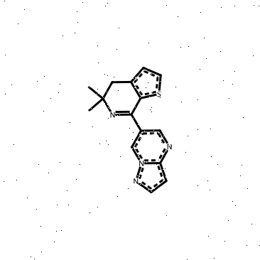 CC1(C)Cc2ccsc2C(c2cnc3ccnn3c2)=N1